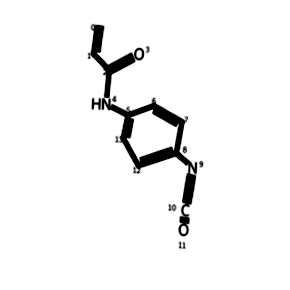 C=CC(=O)Nc1ccc(N=C=O)cc1